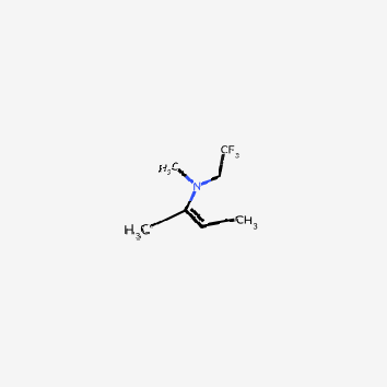 C/C=C(/C)N(C)CC(F)(F)F